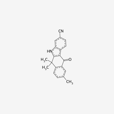 Cc1ccc2c(c1)C(=O)c1c([nH]c3cc(C#N)ccc13)C2(C)C